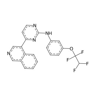 FC(F)C(F)(F)Oc1cccc(Nc2nccc(-c3cncc4ccccc34)n2)c1